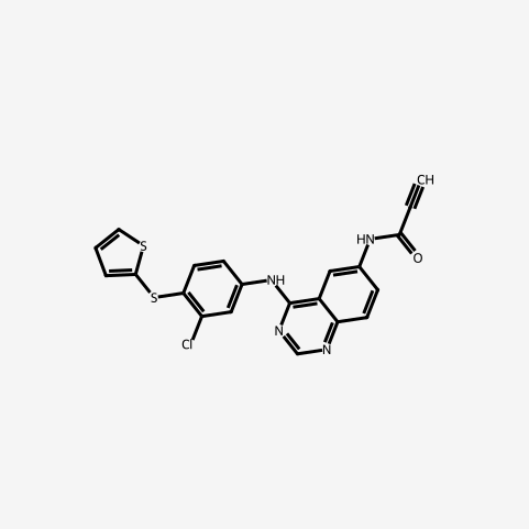 C#CC(=O)Nc1ccc2ncnc(Nc3ccc(Sc4cccs4)c(Cl)c3)c2c1